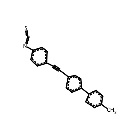 Cc1ccc(-c2ccc(C#Cc3ccc(N=C=S)cc3)cc2)cc1